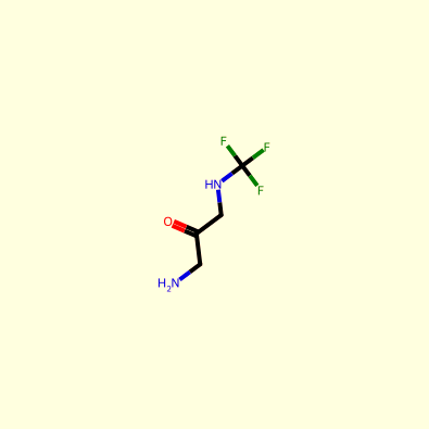 NCC(=O)CNC(F)(F)F